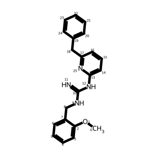 COc1ccccc1CNC(=N)Nc1cccc(Cc2ccccc2)n1